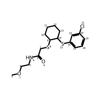 COCCNC(=O)CSC1CCCCC1Sc1cccc(Cl)c1